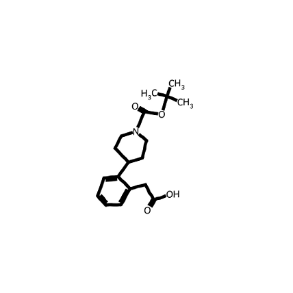 CC(C)(C)OC(=O)N1CCC(c2ccccc2CC(=O)O)CC1